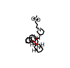 CS(=O)(=O)CCCN1CCC[C@@H](Cc2nc3ccccc3n2[C@H]2C[C@H]3CCC[C@@H](C2)N3[C@@H]2C[C@@H]3CCCC[C@@H](C3)C2)C1